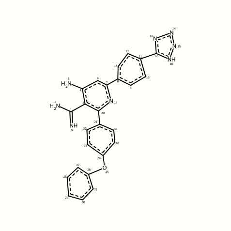 N=C(N)c1c(N)cc(-c2ccc(-c3nnn[nH]3)cc2)nc1-c1ccc(Oc2ccccc2)cc1